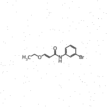 CCOC=CC(=O)Nc1cccc(Br)c1